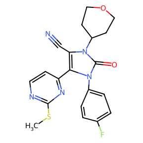 CSc1nccc(-c2c(C#N)n(C3CCOCC3)c(=O)n2-c2ccc(F)cc2)n1